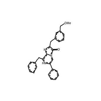 COCc1cccc(Cc2nc3c(Cc4ccccc4)[nH]c(-c4ccccc4)cn-3c2=O)c1